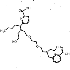 CCCCC(c1cccc(C(=O)O)n1)N(CCO)CCOCCOCCN(CCO)Cc1cccc(C(=O)O)n1